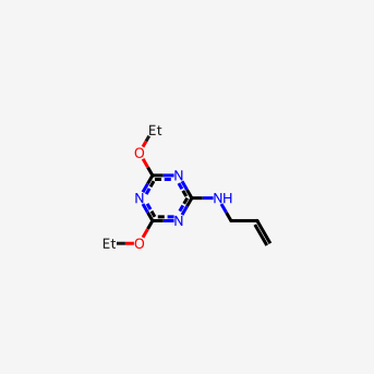 C=CCNc1nc(OCC)nc(OCC)n1